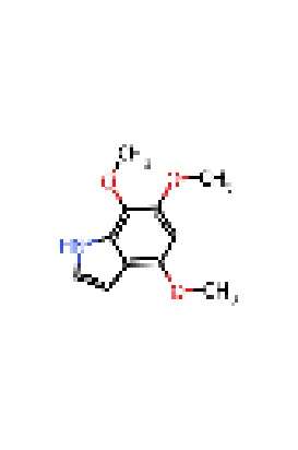 COc1cc(OC)c2cc[nH]c2c1OC